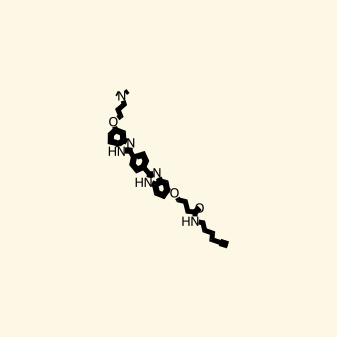 C#CCCCCNC(=O)CCCOc1ccc2[nH]c(-c3ccc(-c4nc5cc(OCCCN(C)C)ccc5[nH]4)cc3)nc2c1